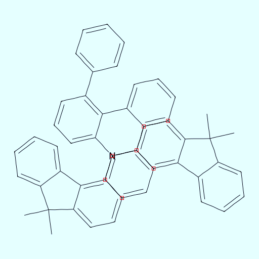 CC1(C)c2ccccc2-c2cc(N(c3cccc(-c4ccccc4)c3-c3ccccc3-c3ccccc3)c3cccc4c3-c3ccccc3C4(C)C)ccc21